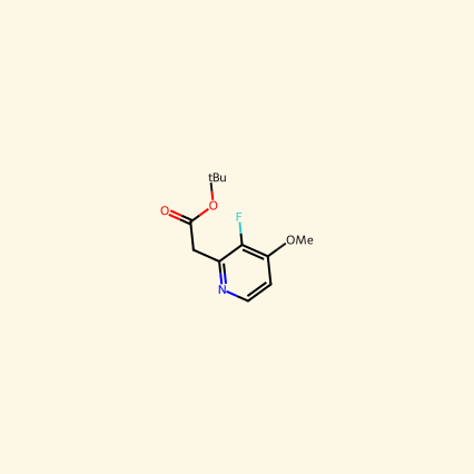 COc1ccnc(CC(=O)OC(C)(C)C)c1F